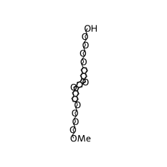 COCCOCCOCCOCCOc1ccc2cc3oc4cc5c(cc4c3cc2c1)oc1cc2ccc(COCCOCCOCCOCCO)cc2cc15